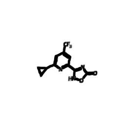 O=c1nc(-c2cc(C(F)(F)F)cc(C3CC3)n2)[nH]o1